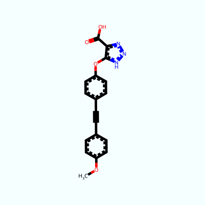 COc1ccc(C#Cc2ccc(Oc3[nH]nnc3C(=O)O)cc2)cc1